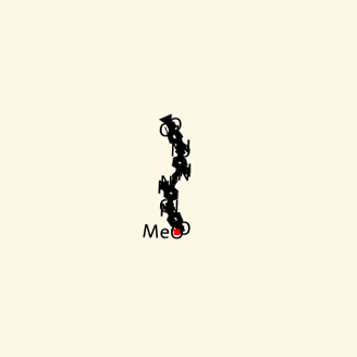 COC(=O)N1CCC(c2noc(-c3ccc4c(CCc5nn(C)c6cc(-c7nc(C8CCN(S(=O)(=O)C9CC9)CC8)no7)ccc56)nn(C)c4c3)n2)CC1